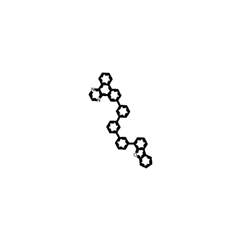 c1cc(-c2cccc(-c3ccc4c5ccccc5c5nccnc5c4c3)c2)cc(-c2cccc(-c3cccc4c3oc3ccccc34)c2)c1